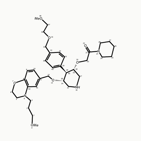 COCCCN1CCOc2ccc(CO[C@H]3CNC[C@@H](OCC(=O)N4CCCCC4)[C@@H]3c3ccc(COCCOC)cc3)cc21